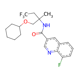 CC(COC1CCCCC1)(CC(F)(F)F)NC(=O)c1cnc2c(F)cccc2c1